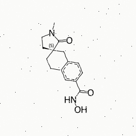 CN1CC[C@@]2(CCc3cc(C(=O)NO)ccc3C2)C1=O